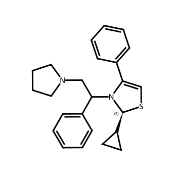 C1=C(c2ccccc2)N(C(CN2CCCC2)c2ccccc2)[C@H](C2CC2)S1